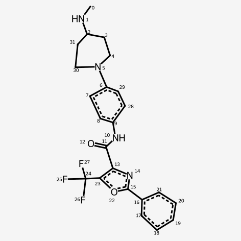 CNC1CCN(c2ccc(NC(=O)c3nc(-c4ccccc4)oc3C(F)(F)F)cc2)CC1